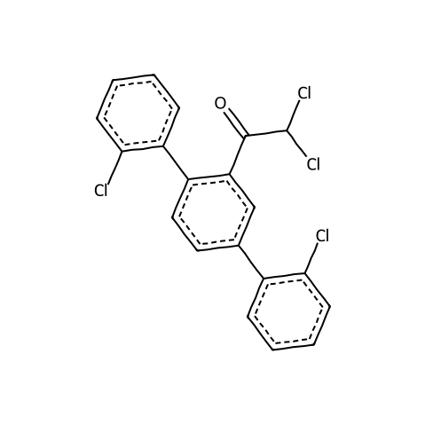 O=C(c1cc(-c2ccccc2Cl)ccc1-c1ccccc1Cl)C(Cl)Cl